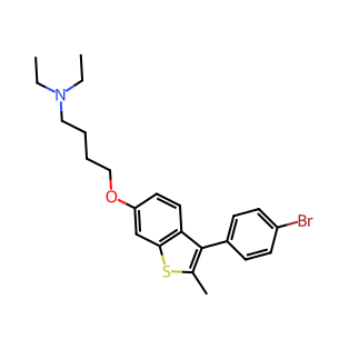 CCN(CC)CCCCOc1ccc2c(-c3ccc(Br)cc3)c(C)sc2c1